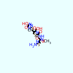 CON=C(C(=O)NC1C(=O)N2C(C(=O)O)=C(CSc3nnc(O)c(=O)n3C)CS[C@@H]12)c1csc(N)n1